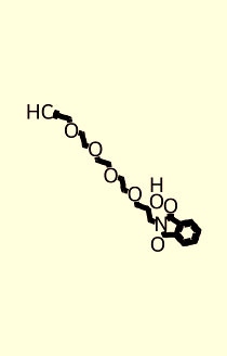 C#CCOCCOCCOCCOCC(O)CN1C(=O)c2ccccc2C1=O